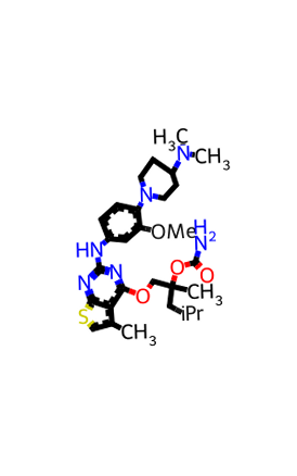 COc1cc(Nc2nc(OCC(C)(CC(C)C)OC(N)=O)c3c(C)csc3n2)ccc1N1CCC(N(C)C)CC1